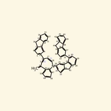 C=C1/C=C(c2ccc3c(c2)-c2ccccc2C3)\C=C/N(c2ccc3c(c2)-c2c(cccc2-c2ccc4c(c2)-c2ccccc2C4)C3)c2ccccc21